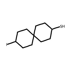 SC1CCC2(CC1)CCC(I)CC2